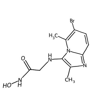 Cc1nc2ccc(Br)c(C)n2c1NCC(=O)NO